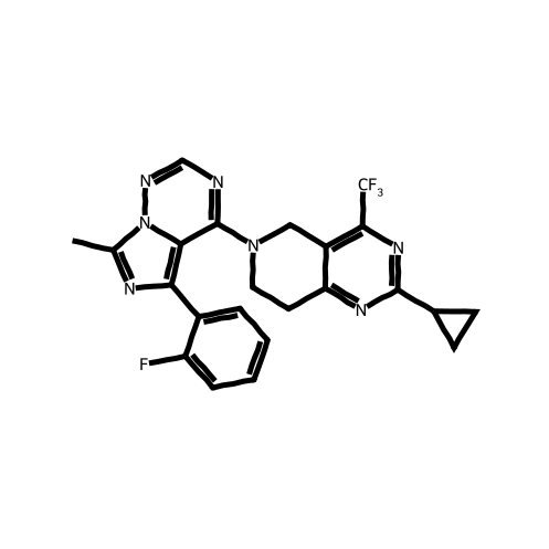 Cc1nc(-c2ccccc2F)c2c(N3CCc4nc(C5CC5)nc(C(F)(F)F)c4C3)ncnn12